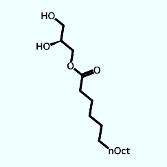 CCCCCCCCCCCCCC(=O)OC[C@@H](O)CO